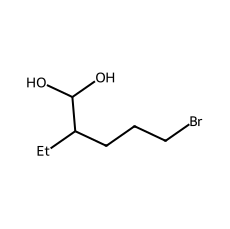 CCC(CCCBr)C(O)O